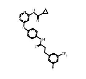 O=C(CCc1cc(F)cc(C(F)(F)F)c1)Nc1ccc(Oc2cc(NC(=O)C3CC3)ncn2)cc1